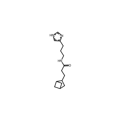 O=C(CCC1CC2CC1C2)NCCCc1c[nH]cn1